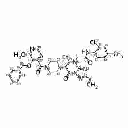 C=Cc1nc2n(CC(=O)Nc3ccc(C(F)(F)F)cc3Cl)c(CC)c(N3CCN(C(=O)c4ncnc(C)c4OCc4ccccc4)CC3)c(=O)n2n1